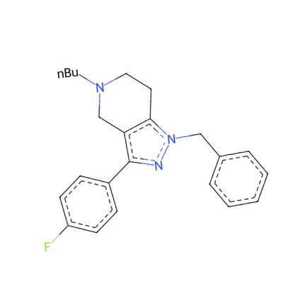 CCCCN1CCc2c(c(-c3ccc(F)cc3)nn2Cc2ccccc2)C1